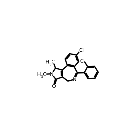 CC1C2=C(CN=C(c3ccccc3Cl)c3cc(Cl)ccc32)C(=O)N1C